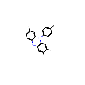 CCOC(=O)c1cc(Nc2ccc(C)cc2)c(Nc2ccc(C)cc2)cc1C(=O)O